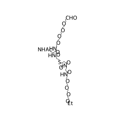 CCOCCOCCOCCOCCNC(=O)CCN1C(=O)CC(SCCC(=O)NC(CNC(C)=O)C(=O)NCCOCCOCCOCCOCCC=O)C1=O